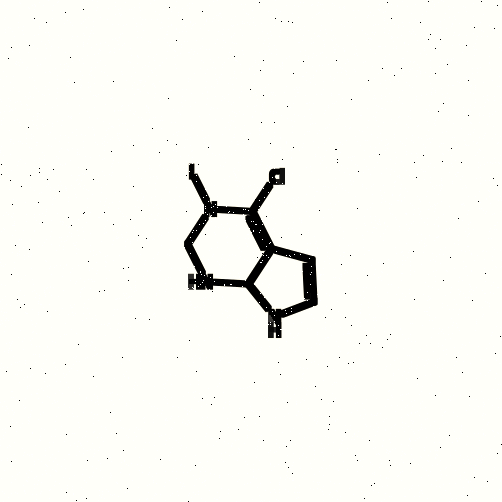 ClC1=C2C=CNC2NCN1I